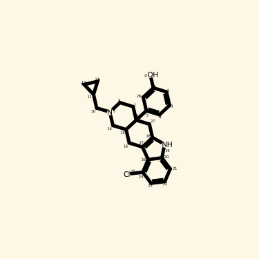 Oc1cccc(C23CCN(CC4CC4)CC2Cc2c([nH]c4cccc(Cl)c24)C3)c1